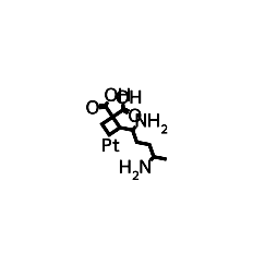 CC(N)CCC(N)C1CCC1(C(=O)O)C(=O)O.[Pt]